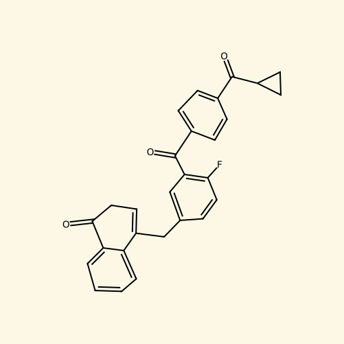 O=C(c1ccc(C(=O)C2CC2)cc1)c1cc(CC2=CCC(=O)c3ccccc32)ccc1F